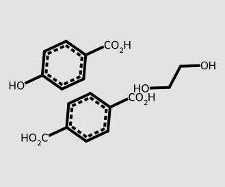 O=C(O)c1ccc(C(=O)O)cc1.O=C(O)c1ccc(O)cc1.OCCO